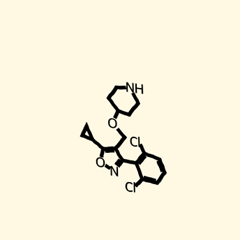 Clc1cccc(Cl)c1-c1noc(C2CC2)c1COC1CCNCC1